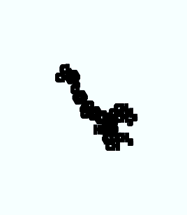 C#CC[C@H](NC(=O)C1Cc2cc3c(cc2CN1C(=O)OC(C)(C)C)O[C@@H](c1ccc(OCc2ccc(Cl)c(Cl)c2)cc1)CO3)C(=O)OC